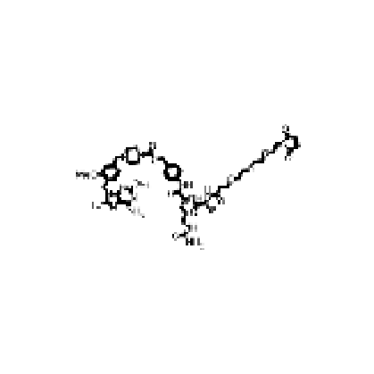 CCOc1nc(N)c2nc(O)n(Cc3ccc(CN4CCN(C(=O)OCc5ccc(NC(=O)[C@H](CCCNC(N)=O)NC(=O)[C@@H](NC(=O)CCOCCOCCOCCN6C(=O)C=CC6=O)C(C)C)cc5)CC4)cc3OC)c2n1